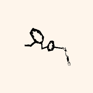 CCc1ccccc1Cc1ccc(N=C=O)cc1